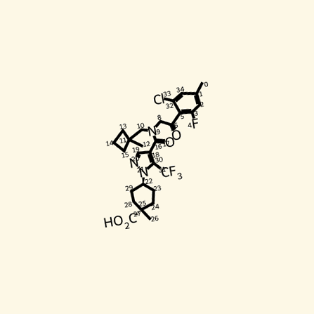 Cc1cc(F)c(C(=O)CN(CC2(C)CCC2)C(=O)c2cnn([C@H]3CC[C@](C)(C(=O)O)CC3)c2C(F)(F)F)c(Cl)c1